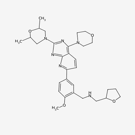 COc1ccc(-c2ccc3c(N4CCOCC4)nc(N4CC(C)OC(C)C4)nc3n2)cc1CNCC1CCCO1